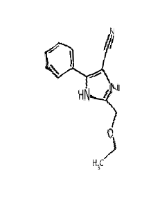 CCOCc1nc(C#N)c(-c2ccccc2)[nH]1